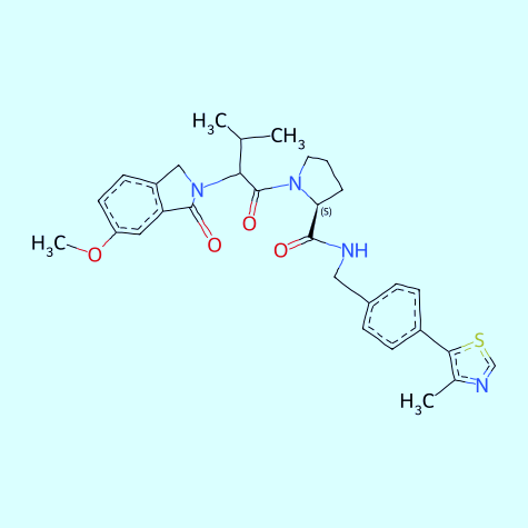 COc1ccc2c(c1)C(=O)N(C(C(=O)N1CCC[C@H]1C(=O)NCc1ccc(-c3scnc3C)cc1)C(C)C)C2